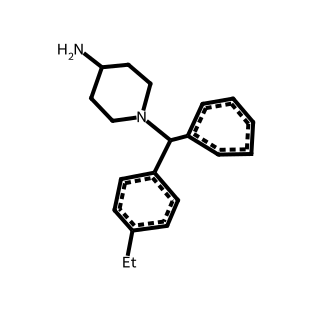 CCc1ccc(C(c2ccccc2)N2CCC(N)CC2)cc1